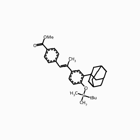 COC(=O)c1ccc(C=C(C)c2ccc(O[Si](C)(C)C(C)(C)C)c(C34CC5CC(CC(C5)C3)C4)c2)cc1